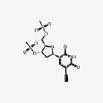 C#Cc1cn([C@H]2C[C@H](OS(C)(=O)=O)[C@@H](COS(C)(=O)=O)O2)c(=O)[nH]c1=O